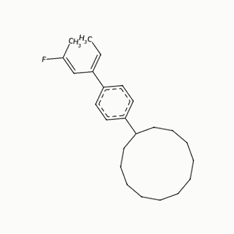 C/C=C(\C=C(/C)F)c1ccc(C2CCCCCCCCCCC2)cc1